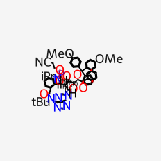 COc1ccc(C(OC(C(=O)c2ccccc2)[C@H]2O[C@@H]3[C@H](C(=O)c4ccccc4C(=O)N(C(C)(C)C)c4ncnc5c4ncn53)[C@@H]2OP(OCCC#N)N(C(C)C)C(C)C)(c2ccccc2)c2ccc(OC)cc2)cc1